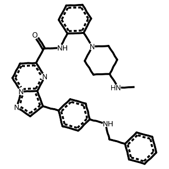 CNC1CCN(c2ccccc2NC(=O)c2ccn3ncc(-c4ccc(NCc5ccccc5)cc4)c3n2)CC1